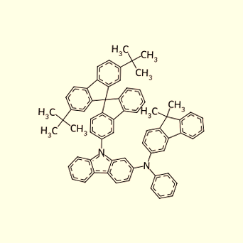 CC(C)(C)c1ccc2c(c1)C1(c3ccccc3-c3cc(-n4c5ccccc5c5ccc(N(c6ccccc6)c6ccc7c(c6)-c6ccccc6C7(C)C)cc54)ccc31)c1cc(C(C)(C)C)ccc1-2